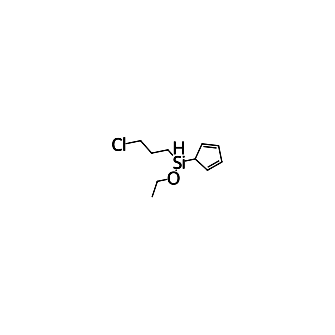 CCO[SiH](CCCCl)C1C=CC=C1